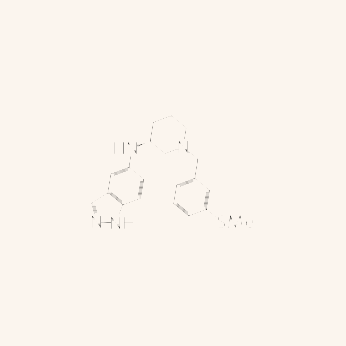 CSc1cccc(CN2CCC[C@H](Nc3ccc4[nH]ncc4c3)C2)c1